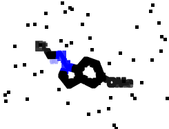 CC/C=N/n1ccc2cc(OC)ccc21